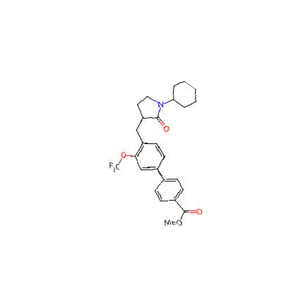 COC(=O)c1ccc(-c2ccc(CC3CCN(C4CCCCC4)C3=O)c(OC(F)(F)F)c2)cc1